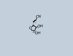 N#C/C=C/[C@H]1OC[C@@H](O)[C@H]1O